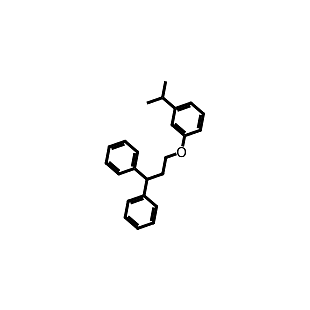 CC(C)c1cccc(OCCC(c2ccccc2)c2ccccc2)c1